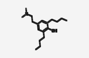 CCCCc1cc(CCN(C)C)cc(CCCC)c1O